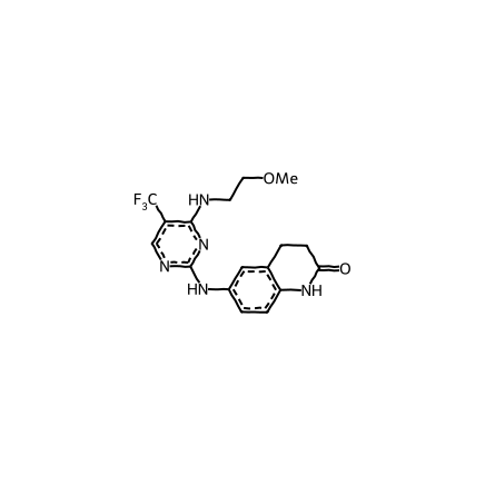 COCCNc1nc(Nc2ccc3c(c2)CCC(=O)N3)ncc1C(F)(F)F